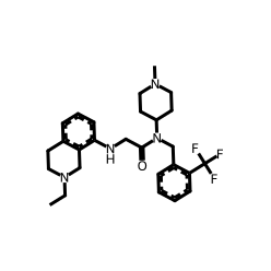 CCN1CCc2cccc(NCC(=O)N(Cc3ccccc3C(F)(F)F)C3CCN(C)CC3)c2C1